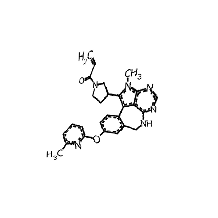 C=CC(=O)N1CCC(c2c3c4c(ncnc4n2C)NCc2cc(Oc4cccc(C)n4)ccc2-3)C1